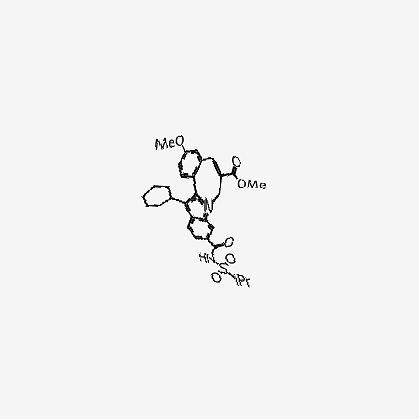 COC(=O)C1=Cc2cc(OC)ccc2-c2c(C3CCCCC3)c3ccc(C(=O)NS(=O)(=O)C(C)C)cc3n2C1